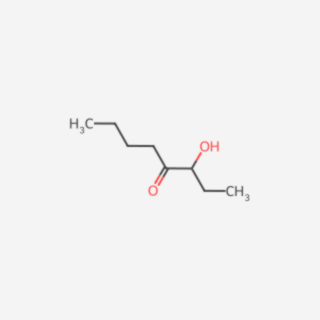 CCCCC(=O)C(O)CC